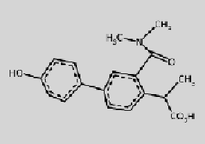 CC(C(=O)O)c1ccc(-c2ccc(O)cc2)cc1C(=O)N(C)C